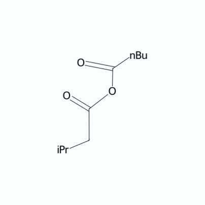 CCCCC(=O)OC(=O)CC(C)C